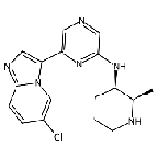 C[C@H]1NCCC[C@H]1Nc1cncc(-c2cnc3ccc(Cl)cn23)n1